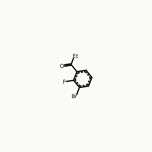 CCC(=O)c1cccc(Br)c1F